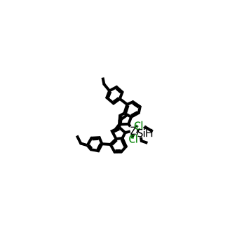 CCC1=Cc2c(-c3ccc(CC)cc3)cccc2[CH]1[Zr]([Cl])([Cl])([CH]1C(C)=Cc2c(-c3ccc(CC)cc3)cccc21)[SiH](CC)CC